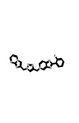 Fc1ccccc1-c1nc2ccn(Cc3cn(Cc4cn5cccnc5n4)nn3)cc-2n1